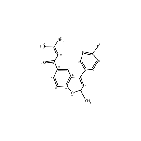 CC1C=C(c2ccc(F)nc2)c2cc(C(=O)N=C(N)N)ccc2O1